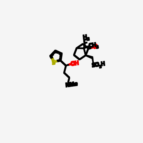 CC1(C)C2CC[C@@]1(CS(=O)(=O)O)C(=O)C2.CNCC[C@H](O)c1cccs1